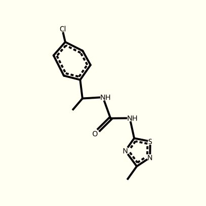 Cc1nsc(NC(=O)NC(C)c2ccc(Cl)cc2)n1